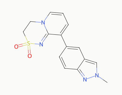 Cn1cc2cc(C3=CC=CN4CCS(=O)(=O)N=C34)ccc2n1